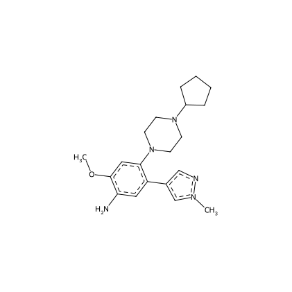 COc1cc(N2CCN(C3CCCC3)CC2)c(-c2cnn(C)c2)cc1N